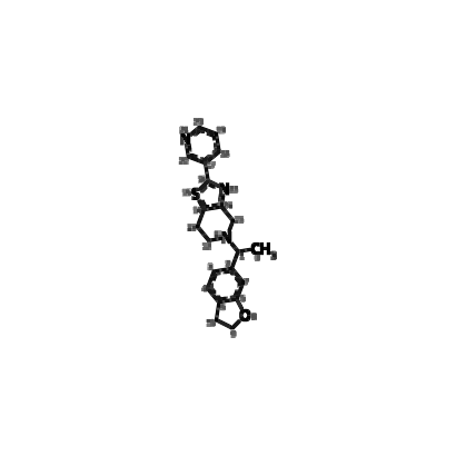 CC(c1ccc2c(c1)OCC2)N1CCc2sc(-c3cccnc3)nc2C1